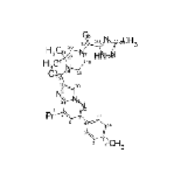 Cc1ccc(-c2cc(C(C)C)c3nc(C(=O)N4CCN(C(=O)c5nc(C)n[nH]5)CC4(C)C)cn3n2)cc1